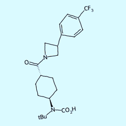 CC(C)(C)N(C(=O)O)[C@H]1CC[C@H](C(=O)N2CC(c3ccc(C(F)(F)F)cc3)C2)CC1